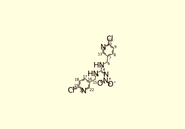 O=[N+]([O-])N=C(NCc1ccc(Cl)nc1)NCc1ccc(Cl)nc1